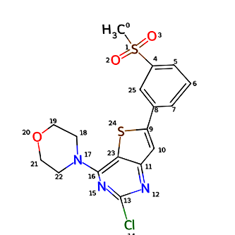 CS(=O)(=O)c1cccc(-c2cc3nc(Cl)nc(N4CCOCC4)c3s2)c1